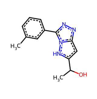 Cc1cccc(-c2nnc3cc(C(C)O)[nH]n23)c1